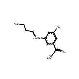 CCCCOc1cc(C)cc(C(=O)O)c1